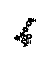 N#CC1(NC(=O)[C@@H]2CCCC[C@H]2c2oc(-c3nccs3)nc2-c2ccc(N3CCS(O)(O)CC3)cc2)CC1